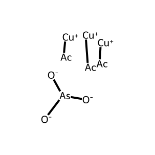 C[C](=O)[Cu+].C[C](=O)[Cu+].C[C](=O)[Cu+].[O-][As]([O-])[O-]